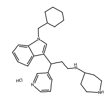 Cl.c1cncc(C(CCNC2CCNCC2)c2cn(CC3CCCCC3)c3ccccc23)c1